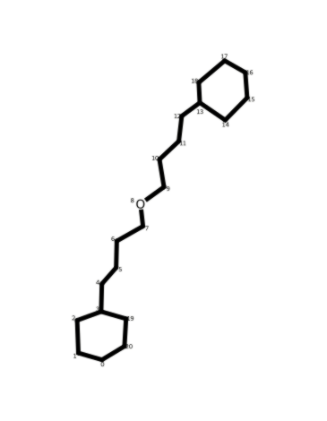 C1CCC(CCCCOCCCCC2CCCCC2)CC1